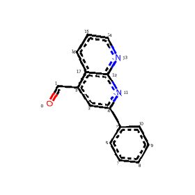 O=Cc1cc(-c2ccccc2)nc2ncccc12